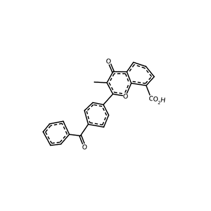 Cc1c(-c2ccc(C(=O)c3ccccc3)cc2)oc2c(C(=O)O)cccc2c1=O